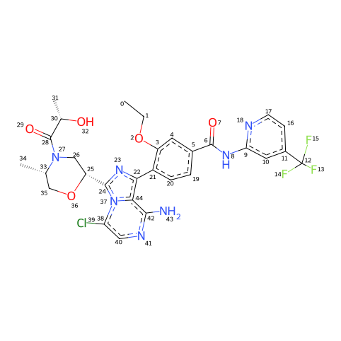 CCOc1cc(C(=O)Nc2cc(C(F)(F)F)ccn2)ccc1-c1nc([C@H]2CN(C(=O)[C@H](C)O)[C@@H](C)CO2)n2c(Cl)cnc(N)c12